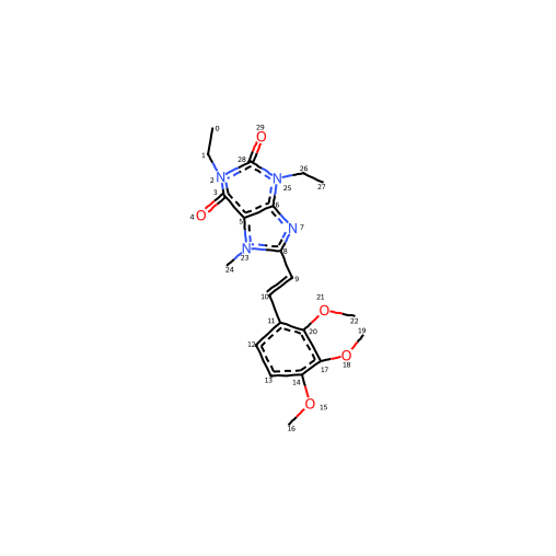 CCn1c(=O)c2c(nc(C=Cc3ccc(OC)c(OC)c3OC)n2C)n(CC)c1=O